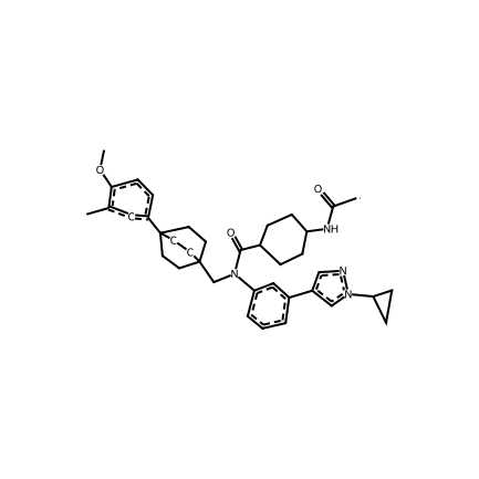 [CH2]C(=O)NC1CCC(C(=O)N(CC23CCC(c4ccc(OC)c(C)c4)(CC2)CC3)c2cccc(-c3cnn(C4CC4)c3)c2)CC1